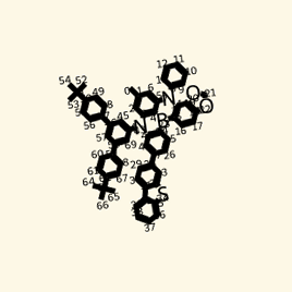 Cc1cc2c3c(c1)N(c1ccccc1)c1c(ccc4c1OCO4)B3c1ccc(-c3ccc4c(c3)sc3ccccc34)cc1N2c1cc(-c2ccc(C(C)(C)C)cc2)cc(-c2ccc(C(C)(C)C)cc2)c1